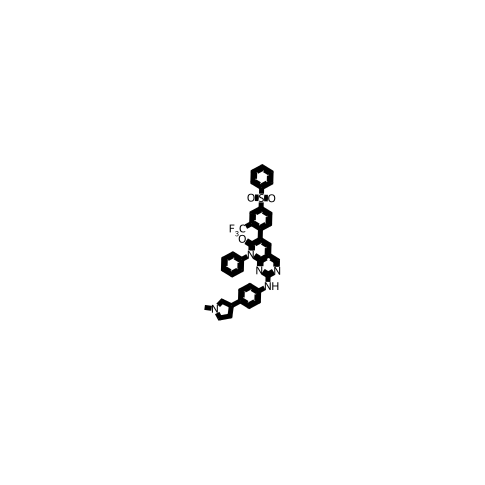 CN1CCC(c2ccc(Nc3ncc4cc(-c5ccc(S(=O)(=O)c6ccccc6)cc5C(F)(F)F)c(=O)n(-c5ccccc5)c4n3)cc2)C1